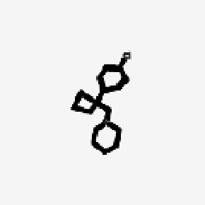 Clc1ccc(C2(CN3CCCCC3)CCC2)cc1